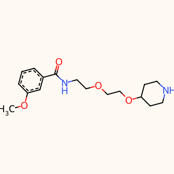 COc1cccc(C(=O)NCCOCCOC2CCNCC2)c1